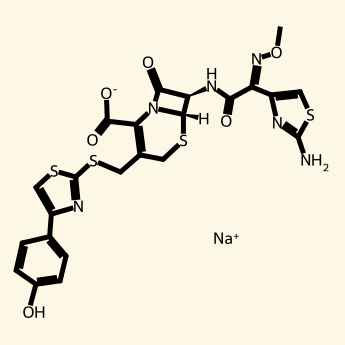 CON=C(C(=O)N[C@@H]1C(=O)N2C(C(=O)[O-])=C(CSc3nc(-c4ccc(O)cc4)cs3)CS[C@@H]12)c1csc(N)n1.[Na+]